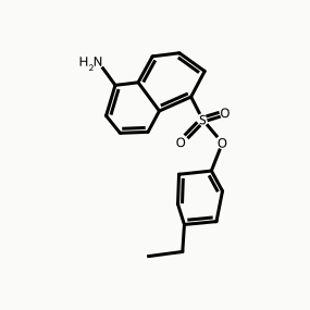 CCc1ccc(OS(=O)(=O)c2cccc3c(N)cccc23)cc1